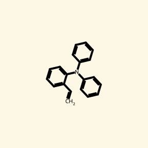 C=Cc1ccccc1N(c1ccccc1)c1ccccc1